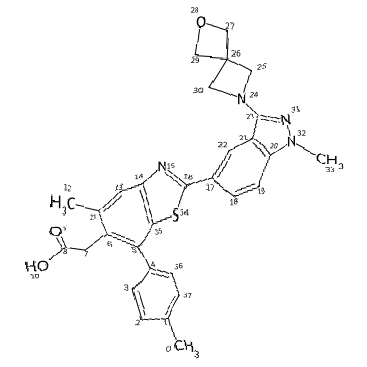 Cc1ccc(-c2c(CC(=O)O)c(C)cc3nc(-c4ccc5c(c4)c(N4CC6(COC6)C4)nn5C)sc23)cc1